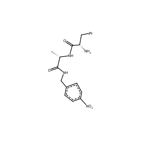 CC(C)C[C@H](N)C(=O)N[C@@H](C)C(=O)NCc1ccc([N+](=O)[O-])cc1